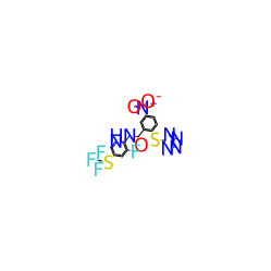 Cn1nnnc1Sc1ccc([N+](=O)[O-])cc1C(=O)Nc1ncc(SC(F)(F)F)cc1F